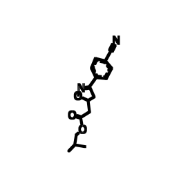 CC(C)COC(=O)CC1CC(c2ccc(C#N)cc2)=NO1